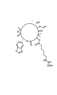 C=CC[C@H]1C(=O)C(C)(C)[C@@H](OC(=O)CCCCCNNOC)CC(=O)O[C@H](c2ccc3scnc3c2)C[C@@H]2O[C@]2(C)CCC[C@H](C)[C@@H]1O